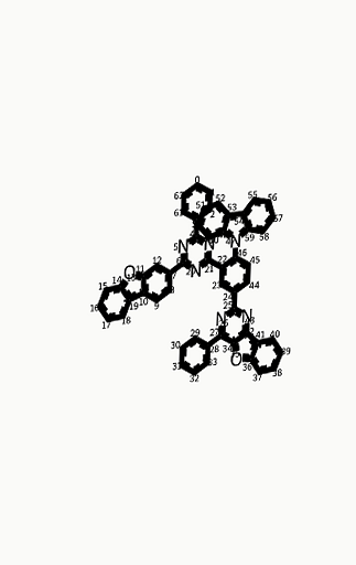 c1ccc(-c2nc(-c3ccc4c(c3)oc3ccccc34)nc(-c3cc(-c4nc(-c5ccccc5)c5oc6ccccc6c5n4)ccc3-n3c4ccccc4c4ccccc43)n2)cc1